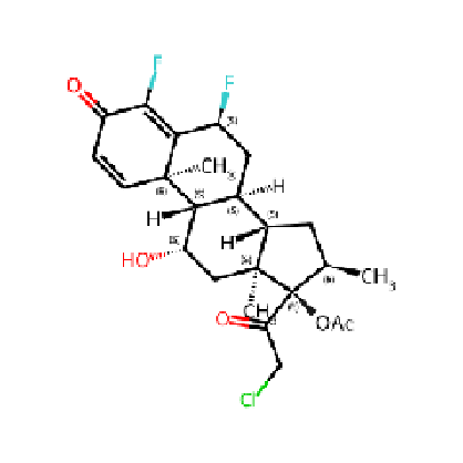 CC(=O)O[C@]1(C(=O)CCl)[C@H](C)C[C@H]2[C@@H]3C[C@H](F)C4=C(F)C(=O)C=C[C@]4(C)[C@H]3[C@@H](O)C[C@@]21C